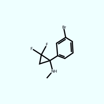 CNC1(c2cccc(Br)c2)CC1(F)F